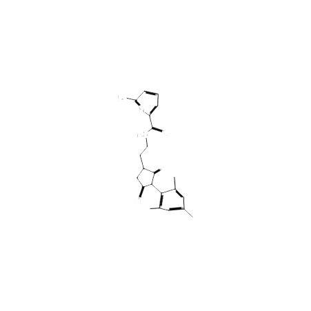 Cc1cc(C)c(C2C(=O)CC(CCNC(=O)c3cccc(Br)n3)C2=O)c(C)c1